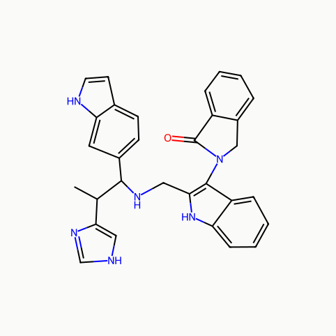 CC(c1c[nH]cn1)C(NCc1[nH]c2ccccc2c1N1Cc2ccccc2C1=O)c1ccc2cc[nH]c2c1